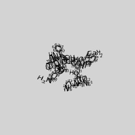 CC(C)(C)NC(=O)[C@@H]1CN(Cc2cccnc2)CCN1C[C@@H](O)C[C@@H](Cc1ccccc1)C(=O)N[C@H]1c2ccccc2C[C@H]1O.CC(C)CN(C[C@@H](OP(=O)(O)O)[C@H](Cc1ccccc1)NC(=O)O[C@H]1CCOC1)S(=O)(=O)c1ccc(N)cc1.[CaH2]